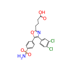 NS(=O)(=O)c1ccc(-c2oc(CCCC(=O)O)nc2-c2ccc(Cl)c(Cl)c2)cc1